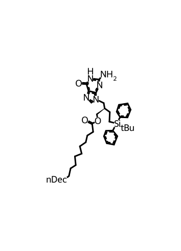 CCCCCCCCCCCCCCCCCCCC(=O)OC[C@H](CC[Si](c1ccccc1)(c1ccccc1)C(C)(C)C)Cn1cnc2c(=O)[nH]c(N)nc21